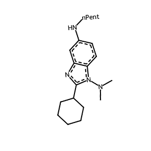 CCCCCNc1ccc2c(c1)nc(C1CCCCC1)n2N(C)C